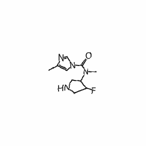 Cc1cn(C(=O)N(C)C2CNCC2F)cn1